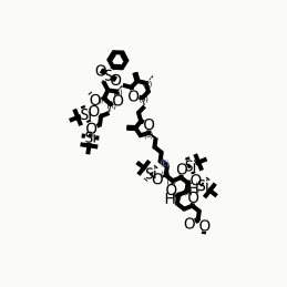 C=C1C[C@H](CCC/C=C/[C@H](O[Si](C)(C)C(C)(C)C)[C@@H]2O[C@H]3CCC(CC(=O)OC)O[C@@H]3C(O[Si](C)(C)C(C)(C)C)C2O[Si](C)(C)C(C)(C)C)OC1CC[C@H]1C[C@@H](C)C(=C)C(C[C@@H]2O[C@H](CC(CO[Si](C)(C)C(C)(C)C)O[Si](C)(C)C(C)(C)C)[C@H](OC)C2CS(=O)(=O)c2ccccc2)O1